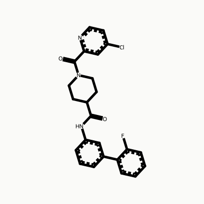 O=C(Nc1cccc(-c2ccccc2F)c1)C1CCN(C(=O)c2cc(Cl)ccn2)CC1